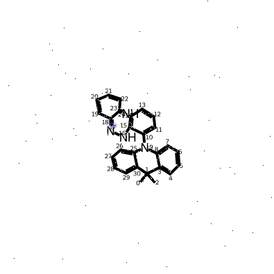 CC1(C)c2ccccc2N(c2ccccc2N/N=C2/C=CC=CC2=N)c2ccccc21